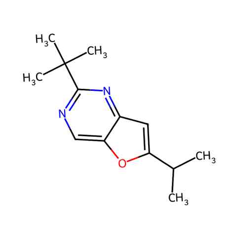 CC(C)c1cc2nc(C(C)(C)C)ncc2o1